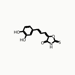 O=C1NC(=S)OC1=CC=Cc1ccc(O)c(O)c1